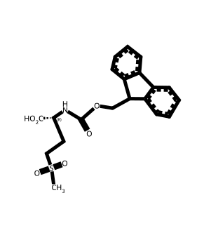 CS(=O)(=O)CC[C@@H](NC(=O)OCC1c2ccccc2-c2ccccc21)C(=O)O